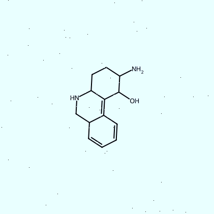 NC1CCC2NCC3C=CC=CC3=C2C1O